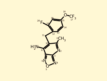 Cc1nc2nonc2c(N)c1Cc1ccc(OC(F)(F)F)cc1F